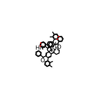 Cc1cccc(C2=CC(C3CCCNC3)C(Cc3ccccc3)(C(=O)C3(Cc4ccccc4)C=C(C(=O)c4ccccc4)C(c4cccc(C)c4C)=CC3C3CCCNC3)C=C2C(=O)c2ccccc2)c1C